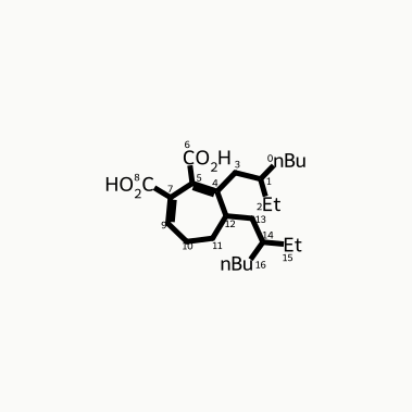 CCCCC(CC)CC1=C(C(=O)O)C(C(=O)O)=CCCC1CC(CC)CCCC